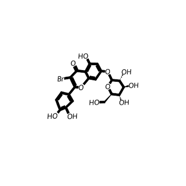 O=c1c(Br)c(-c2ccc(O)c(O)c2)oc2cc(OC3O[C@H](CO)[C@@H](O)[C@H](O)[C@H]3O)cc(O)c12